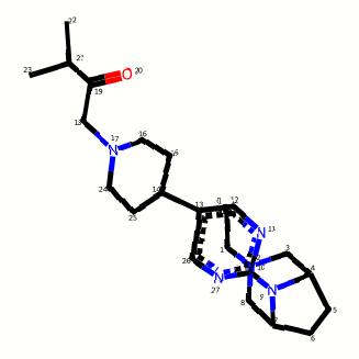 CCN1CC2CCC(C1)N2c1ncc(C2CCN(CC(=O)C(C)C)CC2)cn1